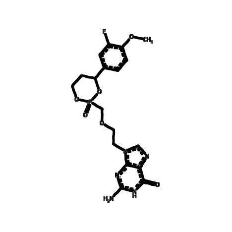 COc1ccc(C2CCOP(=O)(COCCn3cnc4c(=O)[nH]c(N)nc43)O2)cc1F